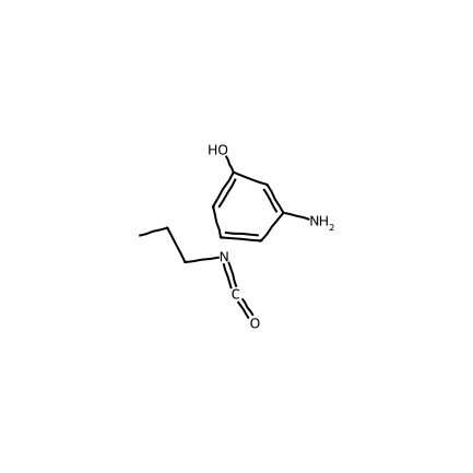 CCCN=C=O.Nc1cccc(O)c1